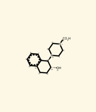 O=C(O)N1CCN([C@@H]2c3ccccc3CC[C@H]2O)CC1